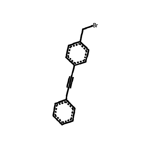 BrCc1ccc(C#Cc2ccccc2)cc1